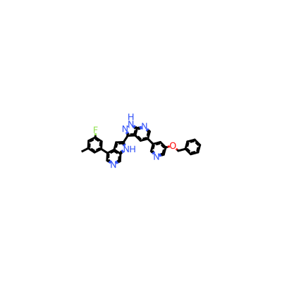 Cc1cc(F)cc(-c2cncc3[nH]c(-c4n[nH]c5ncc(-c6cncc(OCc7ccccc7)c6)cc45)cc23)c1